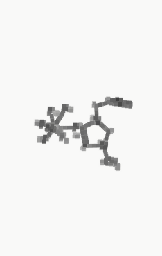 CCCCCCCCCCN1C=CN(C)C1.[F][Sb-]([F])([F])([F])([F])[F]